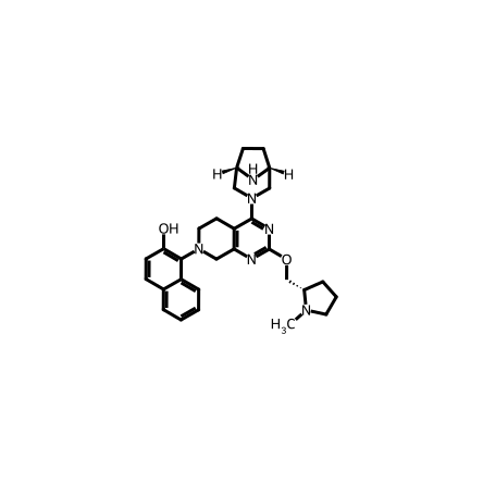 CN1CCC[C@H]1COc1nc2c(c(N3C[C@H]4CC[C@@H](C3)N4)n1)CCN(c1c(O)ccc3ccccc13)C2